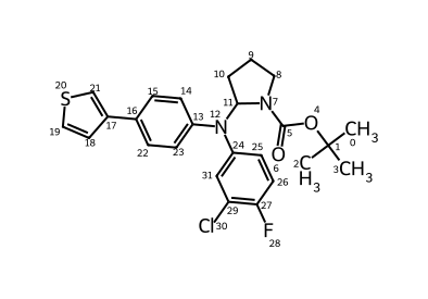 CC(C)(C)OC(=O)N1CCCC1N(c1ccc(-c2ccsc2)cc1)c1ccc(F)c(Cl)c1